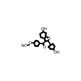 N#CCOc1ccc(C(=O)c2c(-c3ccc(O)cc3)sc3cc(O)ccc23)cc1